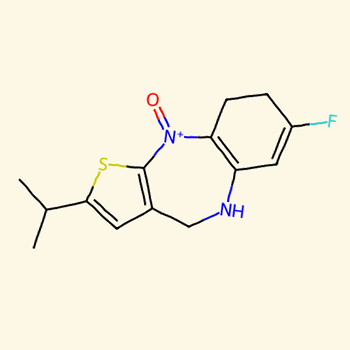 CC(C)c1cc2c(s1)[N+](=O)C1=C(C=C(F)CC1)NC2